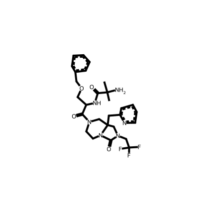 CC(C)(N)C(=O)NC(COCc1ccccc1)C(=O)N1CCN2C(=O)N(CC(F)(F)F)CC2(Cc2ccccn2)C1